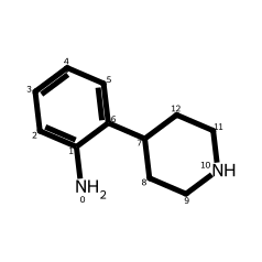 Nc1cc[c]cc1C1CCNCC1